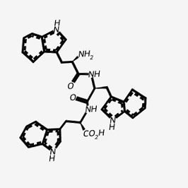 N[C@H](Cc1c[nH]c2ccccc12)C(=O)N[C@@H](Cc1c[nH]c2ccccc12)C(=O)N[C@H](Cc1c[nH]c2ccccc12)C(=O)O